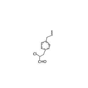 C=CCc1ccc(CC(Cl)C=O)cc1